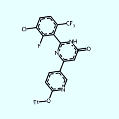 CCOc1ccc(-c2cc(=O)[nH]c(-c3c(C(F)(F)F)ccc(Cl)c3F)n2)cn1